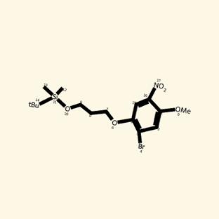 COc1cc(Br)c(OCCCO[Si](C)(C)C(C)(C)C)cc1[N+](=O)[O-]